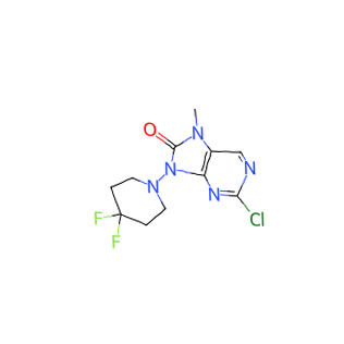 Cn1c(=O)n(N2CCC(F)(F)CC2)c2nc(Cl)ncc21